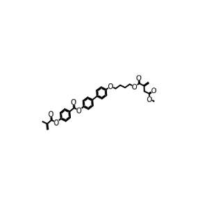 C=C(C)C(=O)Oc1ccc(C(=O)Oc2ccc(-c3ccc(OCCCCOC(=O)C(=C)CC(=O)OC)cc3)cc2)cc1